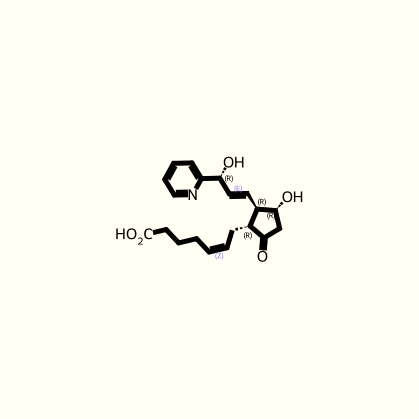 O=C(O)CCC/C=C\C[C@H]1C(=O)C[C@@H](O)[C@@H]1/C=C/[C@@H](O)c1ccccn1